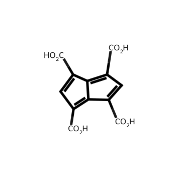 O=C(O)C1=CC(C(=O)O)=C2C(C(=O)O)=CC(C(=O)O)=C12